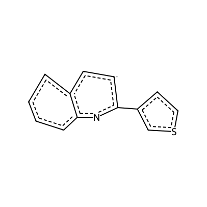 [c]1cc2ccccc2nc1-c1ccsc1